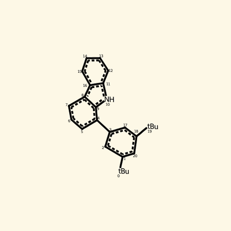 CC(C)(C)c1cc(-c2cccc3c2[nH]c2ccccc23)cc(C(C)(C)C)c1